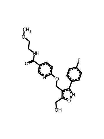 COCCNC(=O)c1ccc(OCc2c(-c3ccc(F)cc3)noc2CO)nc1